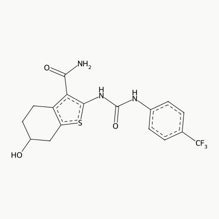 NC(=O)c1c(NC(=O)Nc2ccc(C(F)(F)F)cc2)sc2c1CCC(O)C2